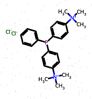 C[N+](C)(C)c1ccc(P(c2ccccc2)c2ccc([N+](C)(C)C)cc2)cc1.[Cl-].[Cl-]